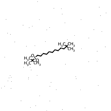 CC(C)(C)CCCCCCCCCCS(=O)(=O)C(C)(C)C